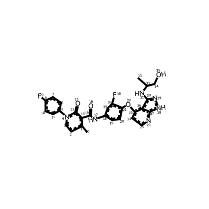 Cc1ccn(-c2ccc(F)cc2)c(=O)c1C(=O)Nc1ccc(Oc2ccnc3[nH]nc(NC(C)CO)c23)c(F)c1